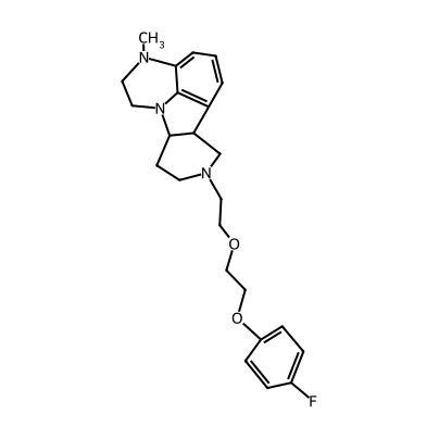 CN1CCN2c3c(cccc31)C1CN(CCOCCOc3ccc(F)cc3)CCC12